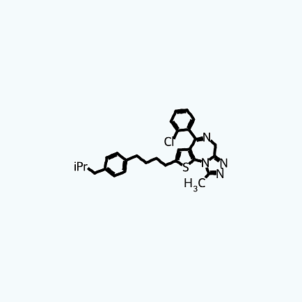 Cc1nnc2n1-c1sc(CCCCc3ccc(CC(C)C)cc3)cc1C(c1ccccc1Cl)=NC2